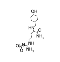 NC(=O)[C@@H](CCCNC(N)=N[N+](=O)[O-])NCC1CCC(O)CC1